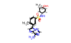 Cc1ccc(S(=O)(=O)N[C@H]2CC[C@](C)(O)CC2)cc1-c1cnc2c(N)ncnn12